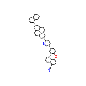 N#Cc1ccc2c3c(cccc13)-c1cc(-c3ccc(-c4cc5ccc6cc(-c7cccc8ccccc78)cc7ccc(c4)c5c67)nc3)ccc1O2